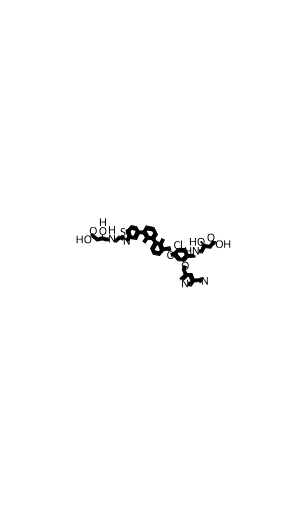 Cc1c(COc2cc(OCc3cncc(C#N)c3)c(CNC[C@@H](O)CC(=O)O)cc2Cl)cccc1-c1cccc(-c2ccc3sc(CNC[C@@H](O)CC(=O)O)nc3c2)c1C